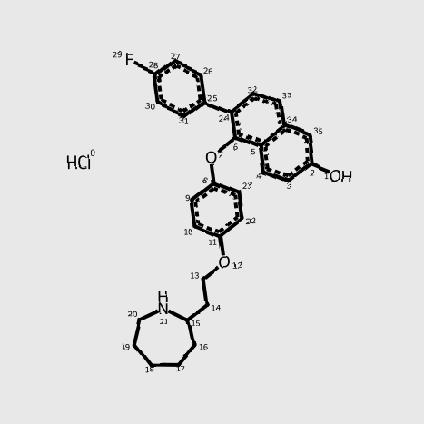 Cl.Oc1ccc2c(Oc3ccc(OCCC4CCCCCN4)cc3)c(-c3ccc(F)cc3)ccc2c1